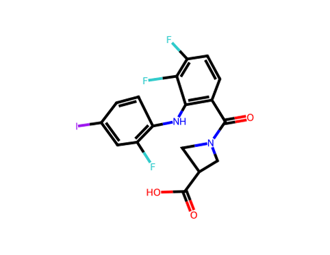 O=C(O)C1CN(C(=O)c2ccc(F)c(F)c2Nc2ccc(I)cc2F)C1